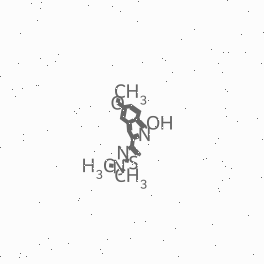 COc1ccc2c(O)nc(-c3csc(N(C)C)n3)cc2c1